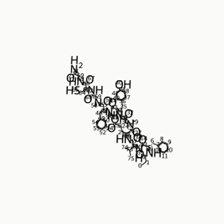 CCC(=O)N[C@@H](Cc1ccccc1)C(=O)N[C@H](C(=O)N[C@@H](CCC(=O)O)C(=O)N(C)CC(=O)N[C@@H](Cc1ccc(O)cc1)C(=O)N(C)[C@@H](Cc1ccccc1)C(=O)N(C)CC(=O)N[C@@H](CS)C(=O)NCC(N)=O)C(C)C